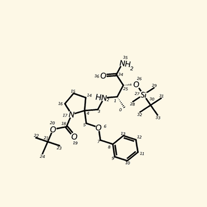 C[C@H](NCC1(COCc2ccccc2)CCCN1C(=O)OC(C)(C)C)[C@@H](O[Si](C)(C)C(C)(C)C)C(N)=O